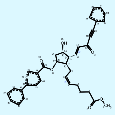 COC(=O)CCC/C=C\C[C@@H]1[C@@H](/C=C/C(=O)C#Cc2ccccc2)[C@H](O)C[C@@H]1OC(=O)c1ccc(-c2ccccc2)cc1